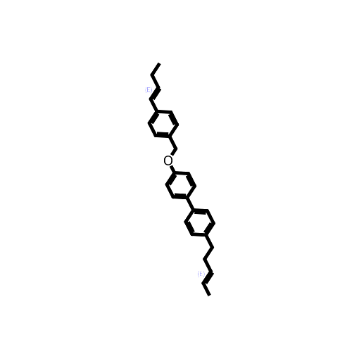 C/C=C/CCc1ccc(-c2ccc(OCc3ccc(/C=C/CC)cc3)cc2)cc1